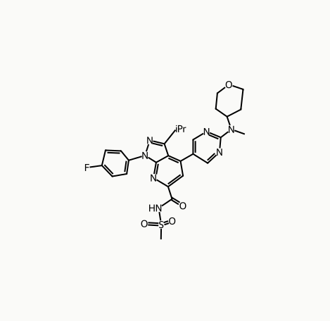 CC(C)c1nn(-c2ccc(F)cc2)c2nc(C(=O)NS(C)(=O)=O)cc(-c3cnc(N(C)C4CCOCC4)nc3)c12